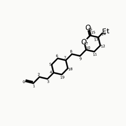 C=CCCC1CCC(CCC2CCC(CC)C(=O)O2)CC1